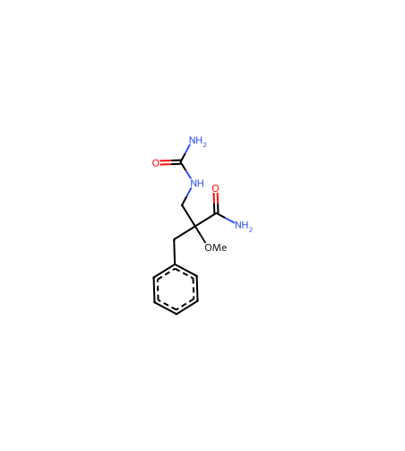 COC(CNC(N)=O)(Cc1ccccc1)C(N)=O